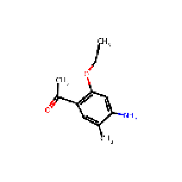 CCOc1cc(N)c(C)cc1C(C)=O